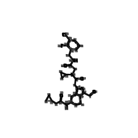 O=Cc1nn(CC(=O)N(CC(=O)NCc2cccc(Cl)c2F)C2CC2)c2cc(NC(=O)CC3CC3)ccc12